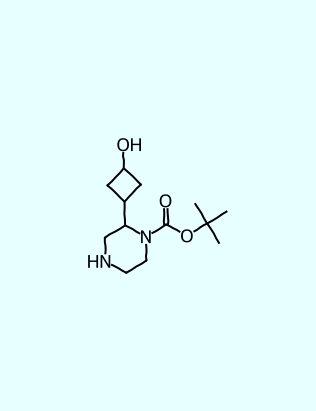 CC(C)(C)OC(=O)N1CCNCC1C1CC(O)C1